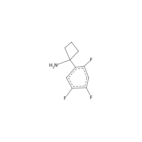 NC1(c2cc(F)c(F)cc2F)CCC1